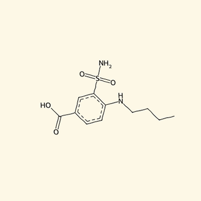 CCCCNc1ccc(C(=O)O)cc1S(N)(=O)=O